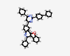 c1ccc(-c2ccc(-c3nc(-c4ccccc4)cc(-c4ccc5nc(-c6ccccc6)c6c7ccccc7oc6c5c4)n3)cc2)cc1